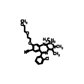 COCCOCCOc1cc2c(cc1C#N)C(c1ccccc1Cl)=NC(=C(C)N(C)C)C(SC)=N2